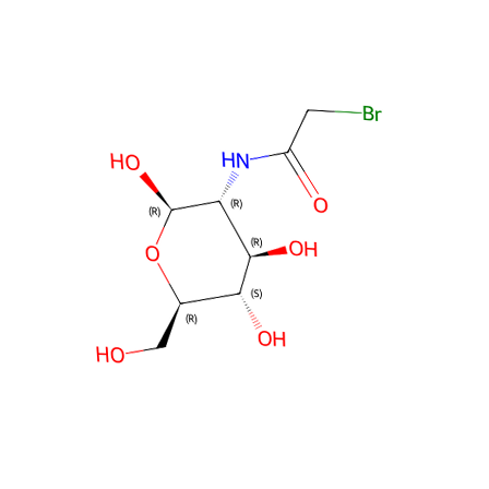 O=C(CBr)N[C@@H]1[C@@H](O)[C@H](O)[C@@H](CO)O[C@H]1O